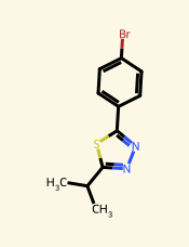 CC(C)c1nnc(-c2ccc(Br)cc2)s1